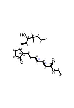 CCCC(C)(C)C(O)C=C[C@H]1CCC(=O)[C@@H]1CC/C=C/C=C/C(=O)OCC